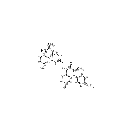 C=C1CC2(CCN(CCC(C(=O)N(C)Cc3ccc(C)cc3)c3ccc(F)cc3)CC2)c2cc(F)ccc2N1